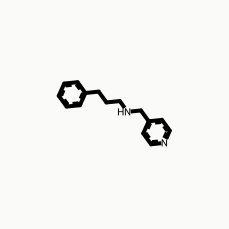 c1ccc(CCCNCc2ccncc2)cc1